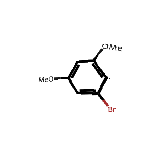 COc1[c]c(Br)cc(OC)c1